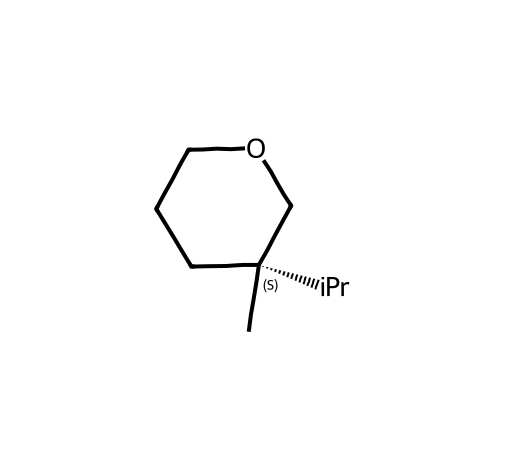 CC(C)[C@]1(C)CCCOC1